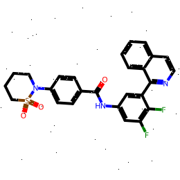 O=C(Nc1cc(F)c(F)c(-c2nccc3ccccc23)c1)c1ccc(N2CCCCS2(=O)=O)cc1